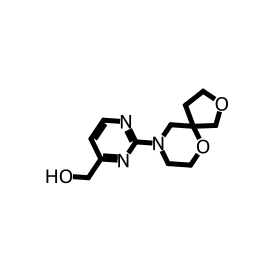 OCc1ccnc(N2CCOC3(CCOC3)C2)n1